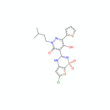 CC(C)CCn1nc(-c2cccs2)c(O)c(C2=NS(=O)(=O)c3sc(Cl)cc3N2)c1=O